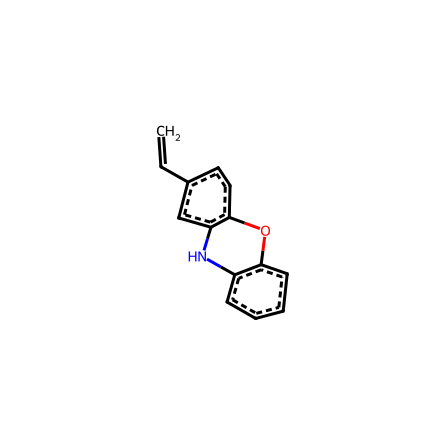 C=Cc1ccc2c(c1)Nc1ccccc1O2